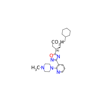 CN1CCN(c2ncccc2-c2noc([C@H](CCCC3CCCCC3)CC(=O)O)n2)CC1